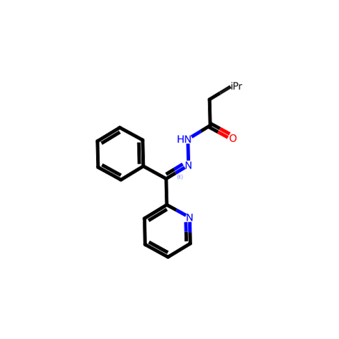 CC(C)CC(=O)N/N=C(\c1ccccc1)c1ccccn1